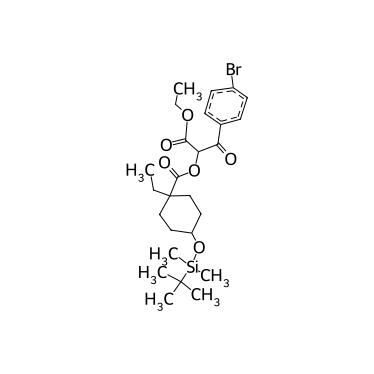 CCOC(=O)C(OC(=O)C1(CC)CCC(O[Si](C)(C)C(C)(C)C)CC1)C(=O)c1ccc(Br)cc1